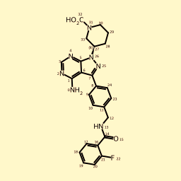 Nc1ncnc2c1c(-c1ccc(CNC(=O)c3ccccc3F)cc1)nn2[C@@H]1CCCN(C(=O)O)C1